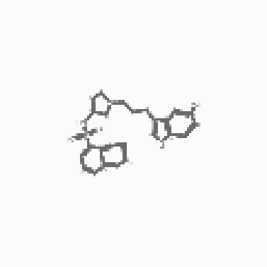 O=S(=O)(NC1CCN(CCCc2c[nH]c3ccc(Cl)cc23)C1)c1cccc2ccccc12